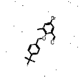 Cc1cc(Br)cc(C=O)c1OCc1ccc(C(C)(C)C)cc1